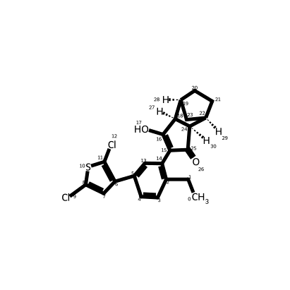 CCc1ccc(-c2cc(Cl)sc2Cl)cc1C1=C(O)[C@H]2[C@H]3CC[C@H](C3)[C@H]2C1=O